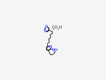 O=C(O)C[C@H](CCCCCCc1ccc2c(n1)NCCCC2)c1cncnc1